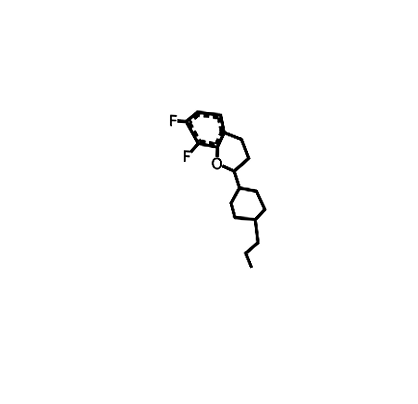 CCCC1CCC(C2CCc3ccc(F)c(F)c3O2)CC1